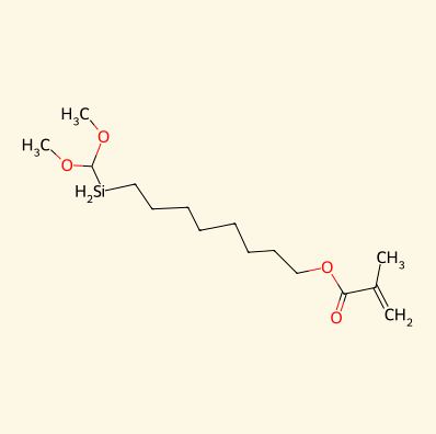 C=C(C)C(=O)OCCCCCCCC[SiH2]C(OC)OC